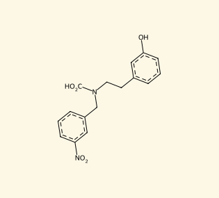 O=C(O)N(CCc1cccc(O)c1)Cc1cccc([N+](=O)[O-])c1